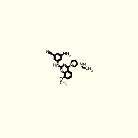 CCN[C@H]1CCN(c2nc(Nc3cc(N)cc(C#N)c3)nc3c(OC)cccc23)C1